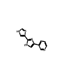 c1cncc(-c2c[nH]c(-c3c[nH]cn3)n2)c1